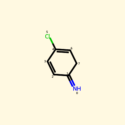 N=C1C=CC(Cl)=CC1